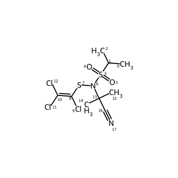 CC(C)S(=O)(=O)N(SC(Cl)=C(Cl)Cl)C(C)(C)C#N